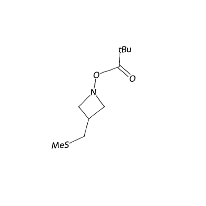 CSCC1CN(OC(=O)C(C)(C)C)C1